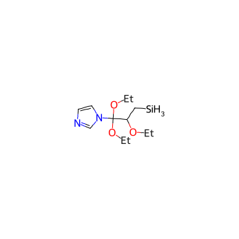 CCOC(C[SiH3])C(OCC)(OCC)n1ccnc1